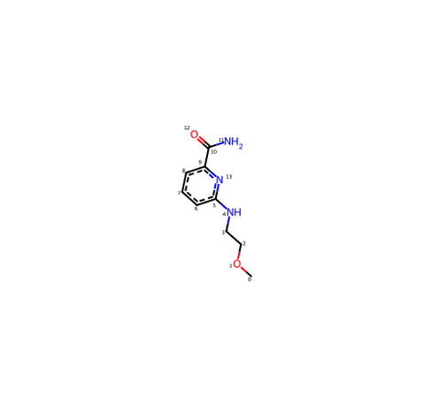 COCCNc1cc[c]c(C(N)=O)n1